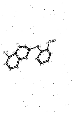 O=Cc1ccccc1Nc1cnc2c(F)cccc2c1